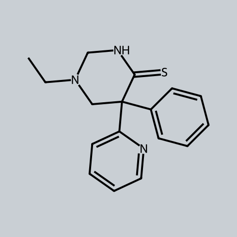 CCN1CNC(=S)C(c2ccccc2)(c2ccccn2)C1